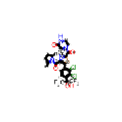 CCCC1CCC(C)N1C(=O)c1nc(C(=O)N2CCNC(=O)C2)sc1-c1ccc(C(O)(C(F)(F)F)C(F)(F)F)c(Cl)c1Cl